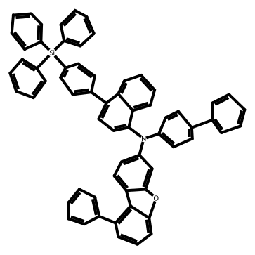 c1ccc(-c2ccc(N(c3ccc4c(c3)oc3cccc(-c5ccccc5)c34)c3ccc(-c4ccc([Si](c5ccccc5)(c5ccccc5)c5ccccc5)cc4)c4ccccc34)cc2)cc1